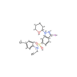 CCc1ccc(N(CC(C)C)S(=O)(=O)c2ccc3c(I)nn(C4CCCCO4)c3c2)cc1